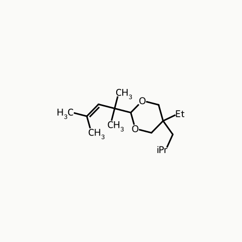 CCC1(CC(C)C)COC(C(C)(C)C=C(C)C)OC1